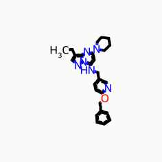 CCc1cnn2c(NCc3ccc(OCc4ccccc4)nc3)cc(N3CCCCC3)nc12